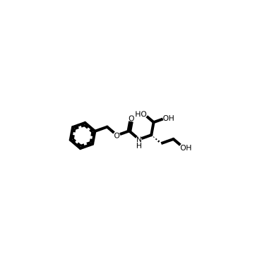 O=C(N[C@@H](CCO)C(O)O)OCc1ccccc1